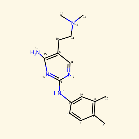 Cc1ccc(Nc2ncc(CCN(C)C)c(N)n2)cc1C